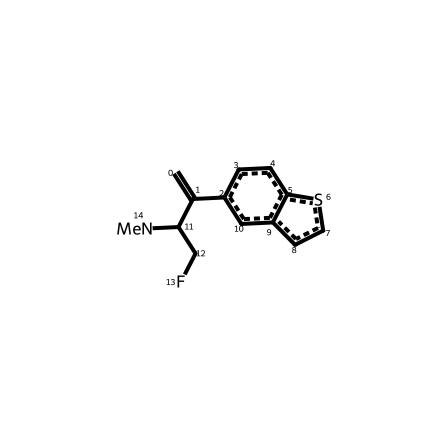 C=C(c1ccc2sccc2c1)C(CF)NC